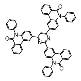 O=c1c2ccccc2c2cc(-c3cc(-c4ccc5c(c4)c4ccccc4c(=O)n5-c4ccccc4)nc(-c4ccc5c(c4)c4ccccc4c(=O)n5-c4ccccc4)n3)ccc2n1-c1ccccc1